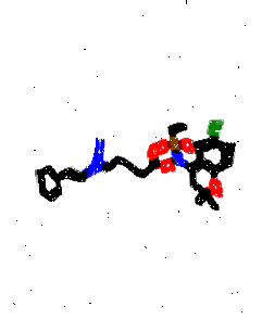 CCS(=O)(=O)N(OC(=O)CCCNCCc1ccccc1)C1CC(C)(C)Oc2ccc(F)cc21